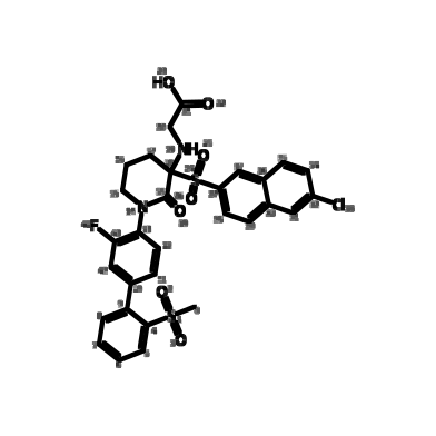 CS(=O)(=O)c1ccccc1-c1ccc(N2CCCC(NCC(=O)O)(S(=O)(=O)c3ccc4cc(Cl)ccc4c3)C2=O)c(F)c1